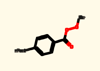 CCCCCc1ccc(C(=O)OO[C](C)CC)cc1